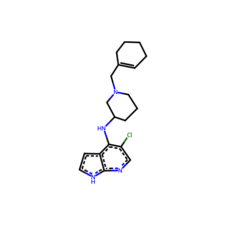 Clc1cnc2[nH]ccc2c1NC1CCCN(CC2=CCCCC2)C1